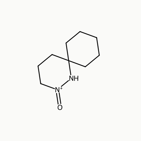 O=[N+]1CCCC2(CCCCC2)N1